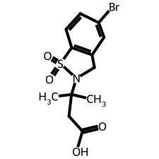 CC(C)(CC(=O)O)N1Cc2cc(Br)ccc2S1(=O)=O